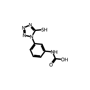 O=C(O)Nc1cccc(-n2nnnc2S)c1